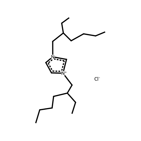 CCCCC(CC)Cn1cc[n+](CC(CC)CCCC)c1.[Cl-]